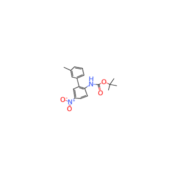 Cc1cccc(-c2cc([N+](=O)[O-])ccc2NC(=O)OC(C)(C)C)c1